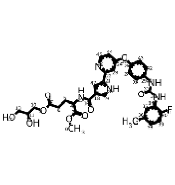 COC(=O)C(CCC(=O)OCC(O)CO)NC(=O)c1c[nH]c(-c2cc(Oc3ccc(NC(=O)Nc4cc(C)ccc4F)cc3)ccn2)c1